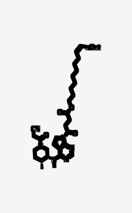 CCCCCCCC/C=C\CCCCCCCCOC(=O)CCC(=O)n1ccc2c(N(C)[C@H]3CN(C(=O)CC#N)CC[C@H]3C)ncnc21